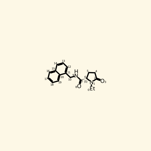 CCN1C(=O)CC[C@H]1C(=O)NCc1cccc2ccccc12